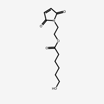 O=C(CCCCCO)OCCN1C(=O)C=CC1=O